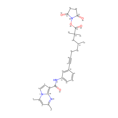 Cc1cc(C)n2ccc(C(=O)Nc3cccc(C#CCCC(C)CC(C)(C)C(=O)ON4C(=O)CCC4=O)c3)c2n1